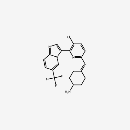 NC1CCC(=Nc2ncc(Cl)c(-c3cnc4ccc(C(F)(F)F)cn34)n2)CC1